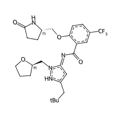 CC(C)(C)Cc1cc(=NC(=O)c2cc(C(F)(F)F)ccc2OC[C@@H]2CCC(=O)N2)n(C[C@H]2CCCO2)[nH]1